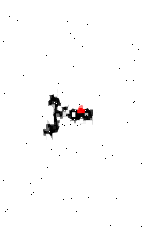 C[C@@H]1CN(C(=O)[C@@H]2CN(c3ccc4nccn4n3)C[C@H]2c2ccc(Cl)cn2)C[C@H](C)C1(O)c1ccc(F)cc1